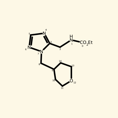 CCOC(=O)NCc1ncnn1CC1CCOCC1